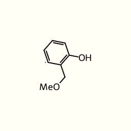 COCc1[c]cccc1O